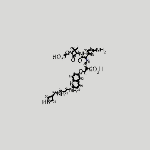 CC1(C)[C@H](NC(=O)/C(=N\O[C@@H](COc2ccc3nc(NCCCNCC4CNC4)ccc3c2)C(=O)O)c2csc(N)n2)C(=O)N1OS(=O)(=O)O